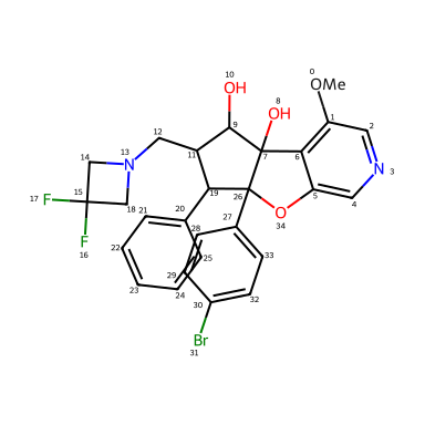 COc1cncc2c1C1(O)C(O)C(CN3CC(F)(F)C3)C(c3ccccc3)C1(c1ccc(Br)cc1)O2